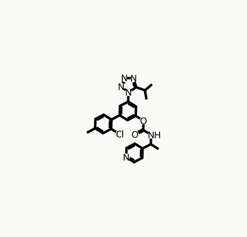 Cc1ccc(-c2cc(OC(=O)NC(C)c3ccncc3)cc(-n3nnnc3C(C)C)c2)c(Cl)c1